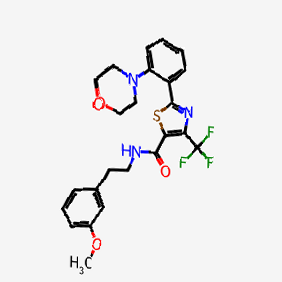 COc1cccc(CCNC(=O)c2sc(-c3ccccc3N3CCOCC3)nc2C(F)(F)F)c1